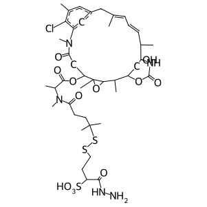 C/C1=C\C=C\C(C)C2(O)CC(OC(=O)N2)C(C)C2OC2(C)C(OC(=O)C(C)N(C)C(=O)CCC(C)(C)SSCCC(C(=O)NN)S(=O)(=O)O)CC(=O)N(C)c2cc(cc(C)c2Cl)C1